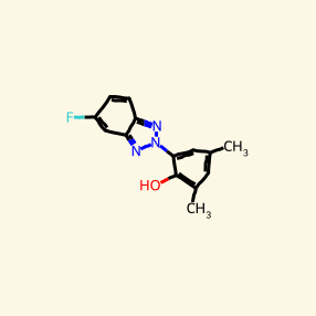 Cc1cc(C)c(O)c(-n2nc3ccc(F)cc3n2)c1